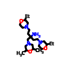 CCC1CN(CCC(N)(CCN2CCOC(CC)C2)CN2CC(C)OC(C)C2)CCO1